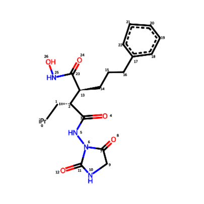 CC(C)C[C@@H](C(=O)NN1C(=O)CNC1=O)[C@H](CCCc1ccccc1)C(=O)NO